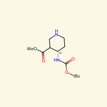 COC(=O)C1CNCC[C@@H]1NC(=O)OC(C)(C)C